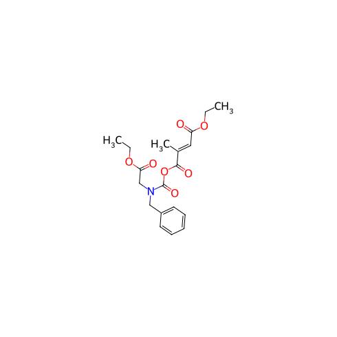 CCOC(=O)/C=C(\C)C(=O)OC(=O)N(CC(=O)OCC)Cc1ccccc1